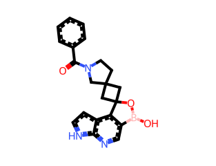 O=C(c1ccccc1)N1CCC2(C1)CC1(C2)OB(O)c2cnc3[nH]ccc3c21